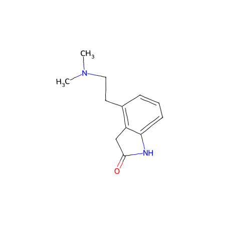 CN(C)CCc1cccc2c1CC(=O)N2